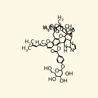 COC(=O)/C(C)=C\CC1(O)C(=O)C2CC(C(C)C)C13Oc1c(CC=C(C)C)c4c(c(OC(=O)c5ccc(O[C@@H]6O[C@H](CO)[C@@H](O)[C@H](O)[C@H]6O)cc5)c1C1=C3C2n2ccnc2N1)C=CC(C)(CCC=C(C)C)O4